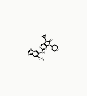 Cc1cc2ncnn2cc1Nc1ncc2c(n1)n(C1CCOCC1)c(=O)n2C1CC1